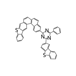 c1ccc(-c2nc(-c3ccc4c(ccc5ccc6cc7sc8ccccc8c7cc6c54)c3)nc(-c3ccc4sc5ccccc5c4c3)n2)cc1